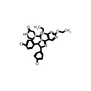 CCOc1ncc(C2=NC(c3ccc(Cl)cc3)C(c3ccc(Cl)cc3)N2C(=O)N2CCNC(=O)C2)c(OCC)n1